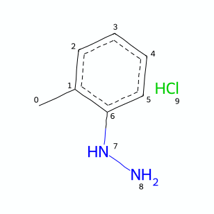 Cc1ccccc1NN.Cl